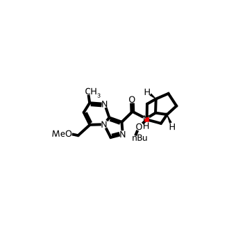 CCCCOC1C[C@H]2CC[C@@H](C1)C2NC(=O)c1ncn2c(COC)cc(C)nc12